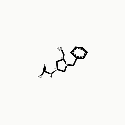 NC[C@@H]1C[C@H](NC(=O)O)CN1Cc1ccccc1